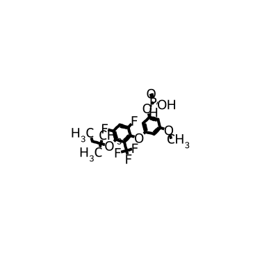 CCC(C)(C)Oc1c(F)cc(F)c(Oc2cc(OC)cc(O[PH](=O)O)c2)c1C(F)(F)F